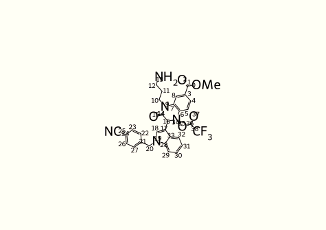 COC(=O)c1ccc2c(c1)N(CCCN)C(=O)C(c1cn(Cc3ccc(C#N)cc3)c3ccccc13)N2OC(=O)C(F)(F)F